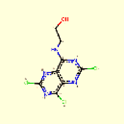 OCCNc1nc(Cl)nc2c(Cl)nc(Cl)nc12